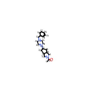 CC(=O)N1CC2CC(N3CCN(Cc4ccccc4)CC3)CC2C1